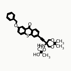 CC(C)(O)ONC1(C#Cc2ccc3c(=O)c4cc(OCc5ccccc5)ccc4sc3c2)COC(C)(C)OC1